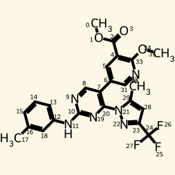 COC(=O)c1cc(-c2cnc(Nc3cccc(C)c3)nc2-n2nc(C(F)(F)F)cc2C)cnc1OC